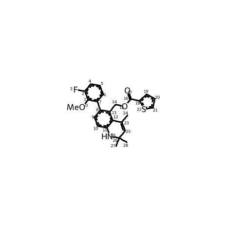 COc1c(F)cccc1-c1ccc2c(c1COC(=O)c1cccs1)C(C)=CC(C)(C)N2